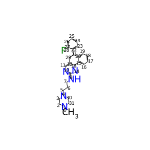 CN1CCN(CCCNc2ncc3c(n2)-c2ccccc2C(c2ccccc2F)C3)CC1